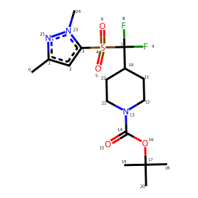 Cc1cc(S(=O)(=O)C(F)(F)C2CCN(C(=O)OC(C)(C)C)CC2)n(C)n1